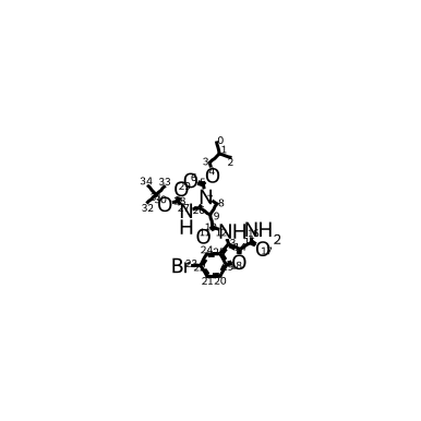 CC(C)COC(=O)N1CC(C(=O)Nc2c(C(N)=O)oc3ccc(Br)cc23)C1NC(=O)OC(C)(C)C